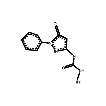 CC(C)NC(=O)Nc1cc(=O)n(-c2ccccc2)[nH]1